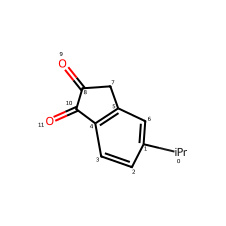 CC(C)c1ccc2c(c1)CC(=O)C2=O